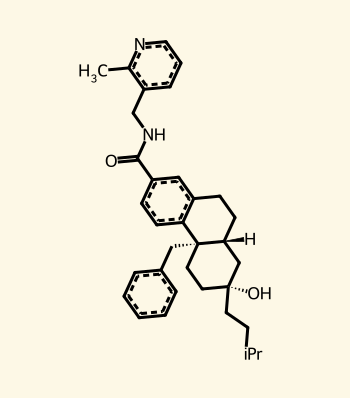 Cc1ncccc1CNC(=O)c1ccc2c(c1)CC[C@@H]1C[C@@](O)(CCC(C)C)CC[C@@]21Cc1ccccc1